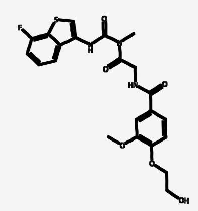 COc1cc(C(=O)NCC(=O)N(C)C(=O)Nc2csc3c(F)cccc23)ccc1OCCO